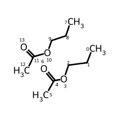 CCCOC(C)=O.CCCOC(C)=O